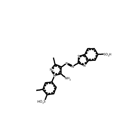 Cc1cc(-n2nc(C)c(/N=N/c3nc4cc(S(=O)(=O)O)ccc4s3)c2N)ccc1S(=O)(=O)O